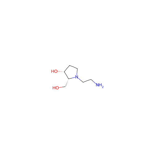 NCCN1CC[C@@H](O)[C@H]1CO